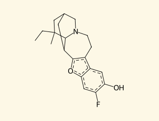 CCC1(C)CC2CC3c4oc5cc(F)c(O)cc5c4CCN(C2)C31